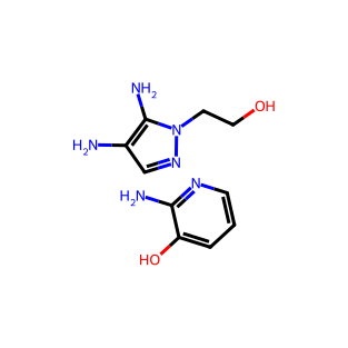 Nc1cnn(CCO)c1N.Nc1ncccc1O